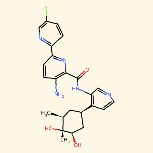 C[C@H]1C[C@@H](c2ccncc2NC(=O)c2nc(-c3ccc(F)cn3)ccc2N)C[C@@H](O)[C@]1(C)O